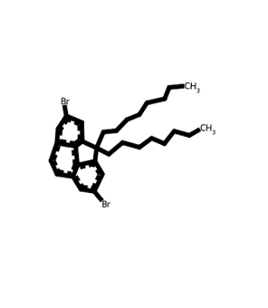 CCCCCCCCC1(CCCCCCCC)c2cc(Br)cc3ccc4cc(Br)cc1c4c23